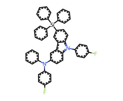 Fc1ccc(N(c2ccccc2)c2ccc3c(c2)c2cc([Si](c4ccccc4)(c4ccccc4)c4ccccc4)ccc2n3-c2ccc(F)cc2)cc1